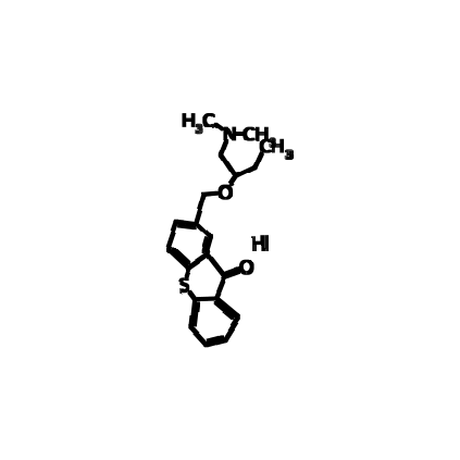 CCC(CN(C)C)OCc1ccc2sc3ccccc3c(=O)c2c1.I